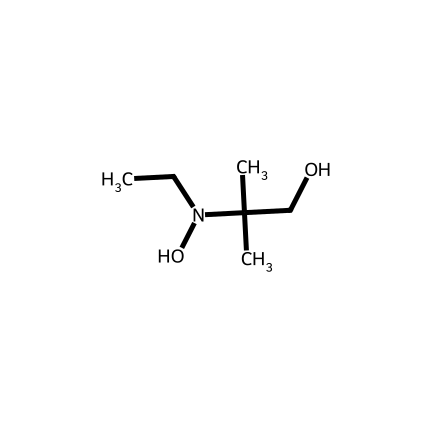 CCN(O)C(C)(C)CO